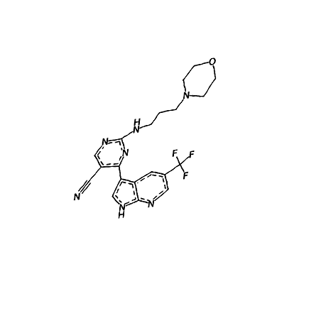 N#Cc1cnc(NCCCN2CCOCC2)nc1-c1c[nH]c2ncc(C(F)(F)F)cc12